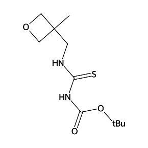 CC1(CNC(=S)NC(=O)OC(C)(C)C)COC1